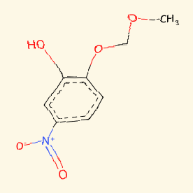 COCOc1ccc([N+](=O)[O-])cc1O